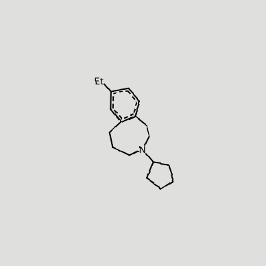 CCc1ccc2c(c1)CCCN(C1CCCC1)CC2